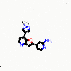 Cn1cc(-c2ccnc3cc(-c4ccnc(N)c4)oc23)cn1